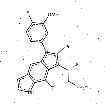 COc1cc(-n2c(C(C)C)c([C@H](F)CC(=O)O)c3c(F)c4[nH]ncc4cc32)ccc1F